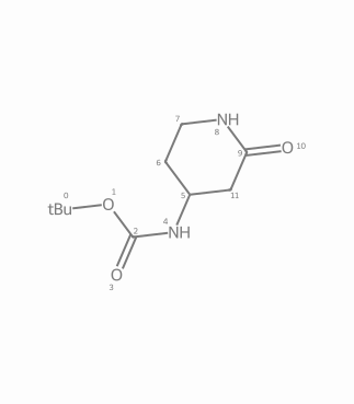 CC(C)(C)OC(=O)NC1CCNC(=O)C1